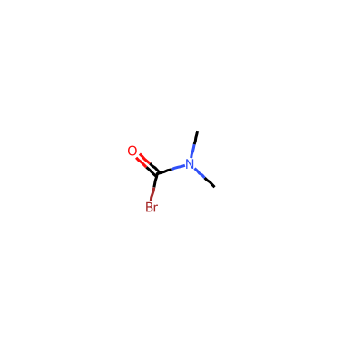 CN(C)C(=O)Br